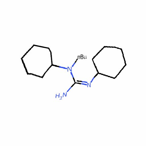 CCCCN(C(N)=NC1CCCCC1)C1CCCCC1